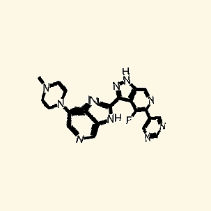 CN1CCN(c2cncc3[nH]c(-c4n[nH]c5cnc(-c6cncnc6)c(F)c45)nc23)CC1